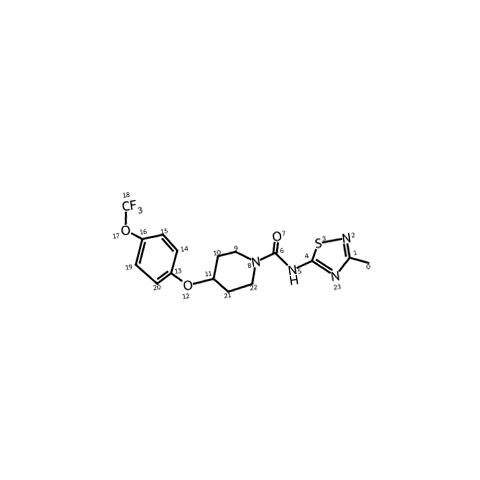 Cc1nsc(NC(=O)N2CCC(Oc3ccc(OC(F)(F)F)cc3)CC2)n1